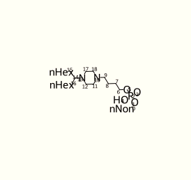 CCCCCCCCCOP(=O)(O)OCCCCN1CCN(C(CCCCCC)CCCCCC)CC1